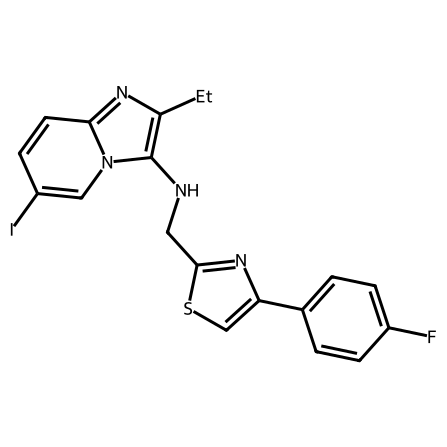 CCc1nc2ccc(I)cn2c1NCc1nc(-c2ccc(F)cc2)cs1